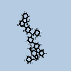 CC1(C)c2ccccc2-c2cccc(-c3ccc(N(c4ccccc4)c4cccc(-c5ccc6c(c5)C5(c7ccccc7-6)c6ccccc6-n6c7ccccc7c7cccc5c76)c4)cc3)c21